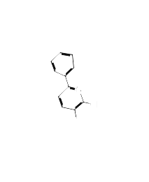 Cc1ccc(-c2ccccc2)nc1Cl